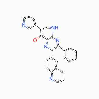 O=c1c(-c2cccnc2)c[nH]c2nc(-c3ccccc3)c(-c3ccc4ncccc4c3)nc12